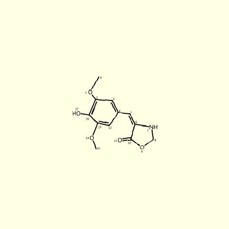 COc1cc(C=C2NCOC2=O)cc(OC)c1O